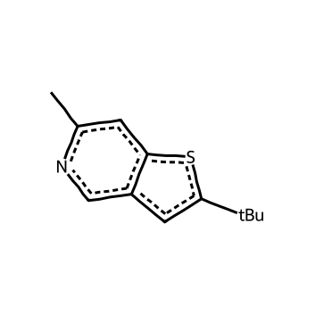 Cc1cc2sc(C(C)(C)C)cc2cn1